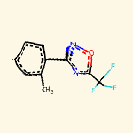 Cc1c[c]ccc1-c1noc(C(F)(F)F)n1